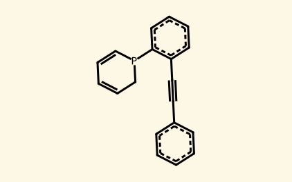 C(#Cc1ccccc1P1C=CC=CC1)c1ccccc1